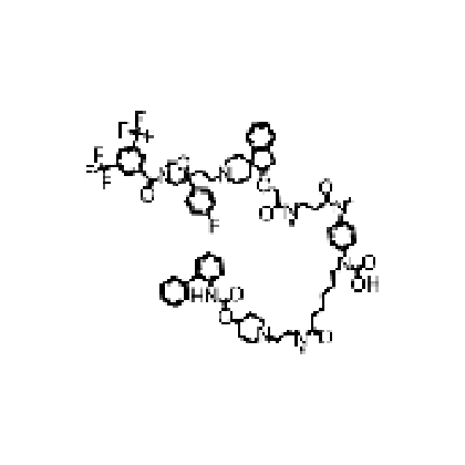 CN(CCN1CCC(OC(=O)Nc2ccccc2-c2ccccc2)CC1)C(=O)CCCCCN(C(=O)O)c1ccc(N(C)C(=O)CCN(C)C(=O)CO[C@H]2Cc3ccccc3C23CCN(CC[C@@]2(c4ccc(F)cc4)CN(C(=O)c4cc(C(F)(F)F)cc(C(F)(F)F)c4)CO2)CC3)cc1